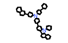 c1ccc(-c2ccc(N(c3ccc(-c4ccc5ccccc5c4)cc3)c3ccc(-c4ccc5c6ccc7ccccc7c6n(-c6ccccc6)c5c4)cc3)cc2)cc1